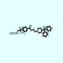 CC(C)(COC=O)c1ccc(C(=O)CCCN2CCC(C(O)(c3ccccc3)c3ccccc3)CC2)cc1